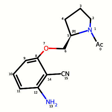 CC(=O)N1CCC[C@@H]1COc1cccc(N)c1C#N